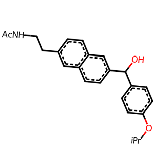 CC(=O)NCCc1ccc2cc(C(O)c3ccc(OC(C)C)cc3)ccc2c1